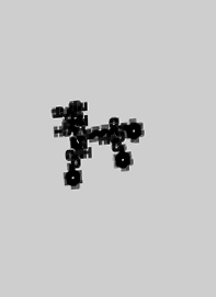 CC(C)(C)[Si]1(C(C)(C)C)OC[C@H]2O[C@@H](n3ccc(NC(=O)OCc4ccccc4)n/c3=N\CCCC[C@H](NC(=O)OCc3ccccc3)C(=O)OCc3ccccc3)[C@H](O)[C@@H]2O1